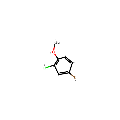 CC(C)(C)Oc1ccc(Br)cc1Cl